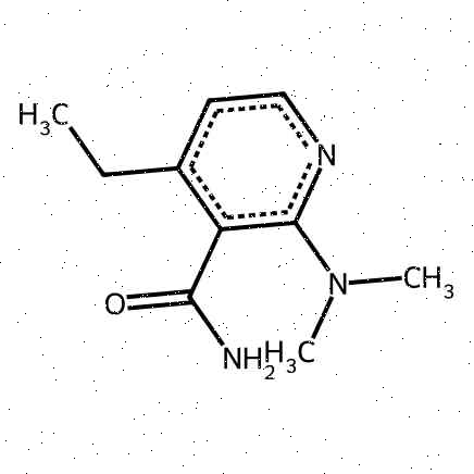 CCc1ccnc(N(C)C)c1C(N)=O